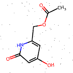 CC(=O)OCc1cc(O)cc(=O)[nH]1